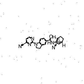 N#Cc1ccnc(N2CCc3cc(C(=O)N[C@@H]4C[C@@H]5CC[C@H]4N5C#N)ccc32)n1